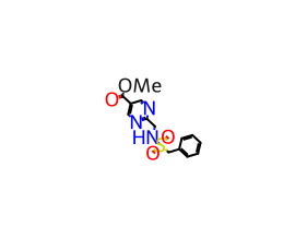 COC(=O)c1cnc(CNS(=O)(=O)Cc2ccccc2)nc1